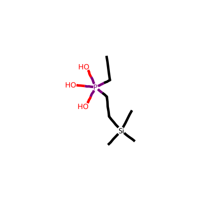 CCP(O)(O)(O)CC[Si](C)(C)C